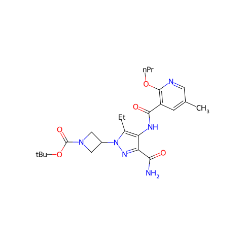 CCCOc1ncc(C)cc1C(=O)Nc1c(C(N)=O)nn(C2CN(C(=O)OC(C)(C)C)C2)c1CC